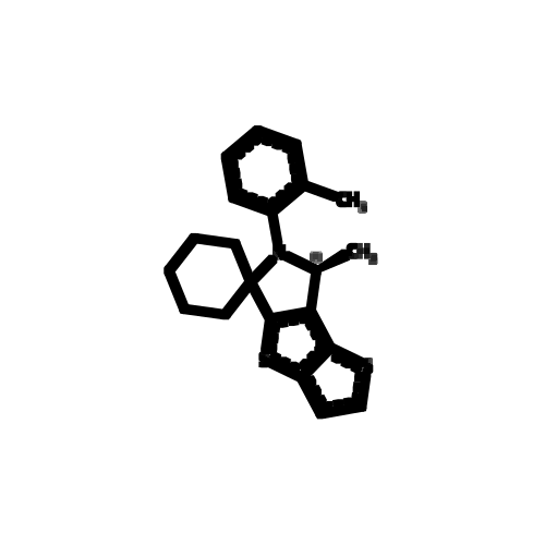 Cc1ccccc1N1[C@@H](C)c2c(sc3ccsc23)C12CCCCC2